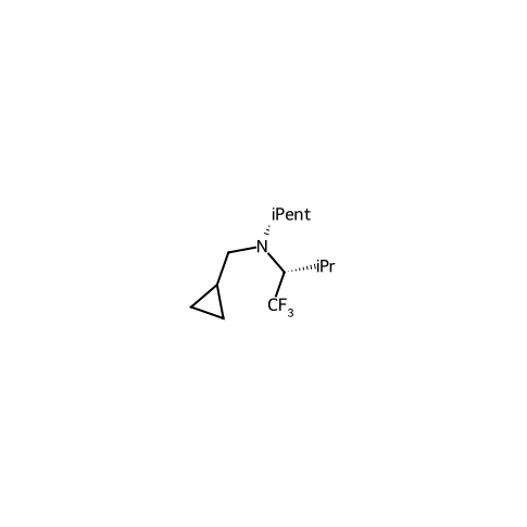 CCC[C@@H](C)N(CC1CC1)[C@H](C(C)C)C(F)(F)F